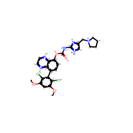 COc1cc(OC)c(Cl)c(-c2ccc(OC(=O)Nc3nc(CN4CCCC4)c[nH]3)c3nccnc23)c1Cl